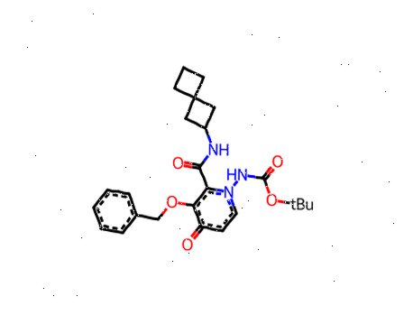 CC(C)(C)OC(=O)Nn1ccc(=O)c(OCc2ccccc2)c1C(=O)NC1CC2(CCC2)C1